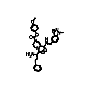 COc1ccc(OC(=O)N2CCN(C(=O)[C@H](N)CCc3ccccc3)[C@H](C(=O)NCc3ccc4c(c3)nnn4C)C2)cc1